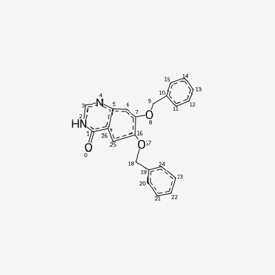 O=c1[nH]cnc2cc(OCc3ccccc3)c(OCc3ccccc3)cc12